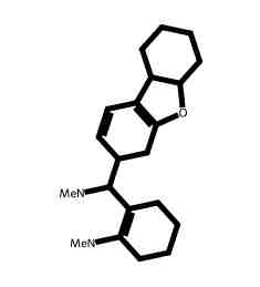 CNC1=C(C(NC)C2C=CC3=C(C2)OC2CCCCC32)CCCC1